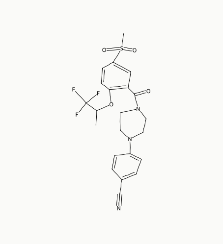 CC(Oc1ccc(S(C)(=O)=O)cc1C(=O)N1CCN(c2ccc(C#N)cc2)CC1)C(F)(F)F